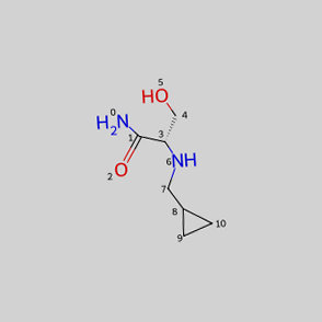 NC(=O)[C@H](CO)NCC1CC1